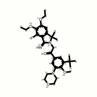 CCOc1cc2c(c(F)c1OCC)C(=N)N(CC(=O)c1cc(N3CCOCC3)c(OC)c(C(C)(C)C)c1)C2(C)C